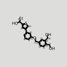 CCC(O)c1cc(-c2cccc(OCc3ccc(CO)c(CO)c3)c2)cs1